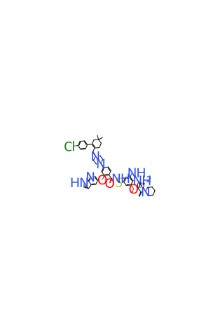 C=C(C[C@H](C)Nc1c(N)cc(SNC(=O)c2ccc(N3CCN(CC4=C(c5ccc(Cl)cc5)CC(C)(C)CC4)CC3)cc2Oc2cnc3[nH]ccc3c2)cc1OC)N1CCCCC1